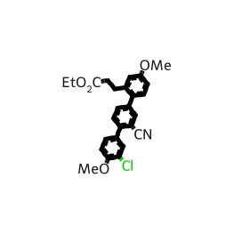 CCOC(=O)CCc1cc(OC)ccc1-c1ccc(-c2ccc(OC)c(Cl)c2)c(C#N)c1